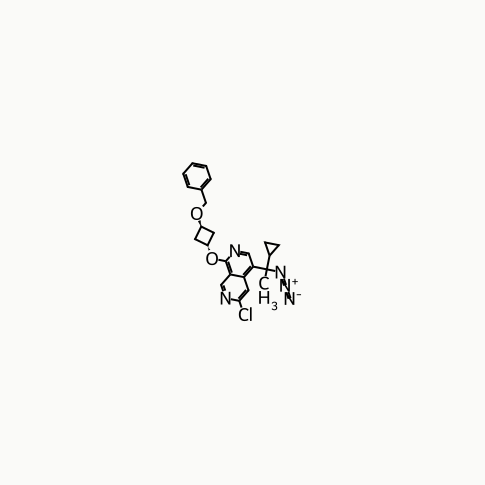 CC(N=[N+]=[N-])(c1cnc(O[C@H]2C[C@H](OCc3ccccc3)C2)c2cnc(Cl)cc12)C1CC1